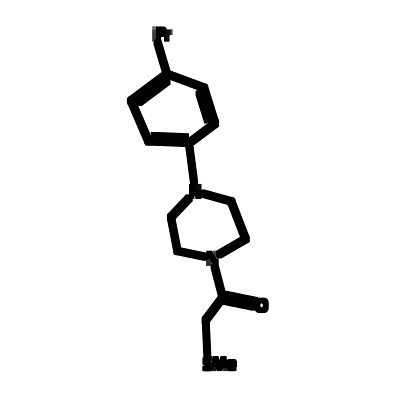 CSCC(=O)N1CCN(c2ccc(C(C)C)cc2)CC1